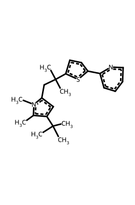 Cc1c(C(C)(C)C)cc(CC(C)(C)c2ccc(-c3ccccn3)s2)n1C